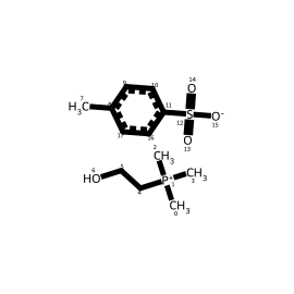 C[P+](C)(C)CCO.Cc1ccc(S(=O)(=O)[O-])cc1